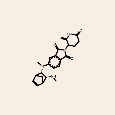 CN[C@H]1C2C=CC(C2)[C@@H]1N(C)c1ccc2c(c1)C(=O)N(C1CCC(=O)NC1=O)C2=O